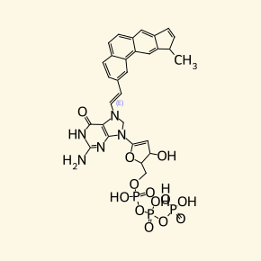 CC1C=Cc2cc3ccc4ccc(/C=C/N5CN(C6=CC(O)C(COP(=O)(O)OP(=O)(O)OP(=O)(O)O)O6)c6nc(N)[nH]c(=O)c65)cc4c3cc21